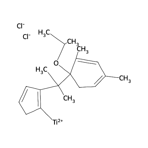 CC1=CCC(OC(C)C)(C(C)(C)C2=[C]([Ti+2])CC=C2)C(C)=C1.[Cl-].[Cl-]